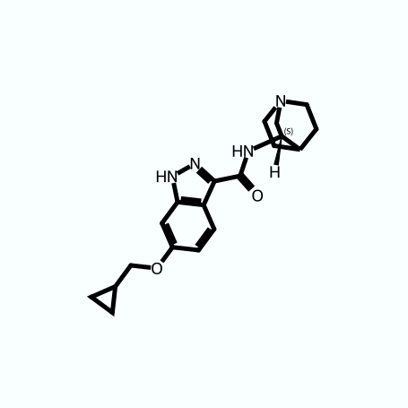 O=C(N[C@@H]1CN2CCC1CC2)c1n[nH]c2cc(OCC3CC3)ccc12